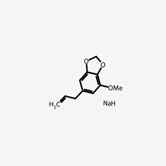 C=CCc1cc(OC)c2c(c1)OCO2.[NaH]